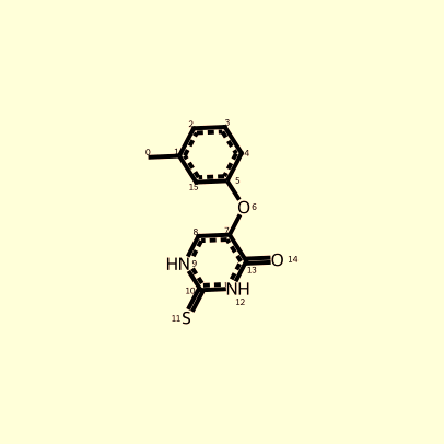 Cc1cccc(Oc2c[nH]c(=S)[nH]c2=O)c1